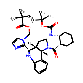 CC(C)(C)OC(=O)N[C@@H]1CCCC[C@@H]1C(=O)N1CC[C@H]2[C@@H](c3nccn3COC(=O)C(C)(C)C)Nc3ccccc3[C@H]21